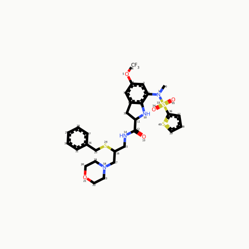 CN(c1cc(OC(F)(F)F)cc2c1NC(C(=O)NCC(CN1CCOCC1)SCc1ccccc1)C2)S(=O)(=O)c1cccs1